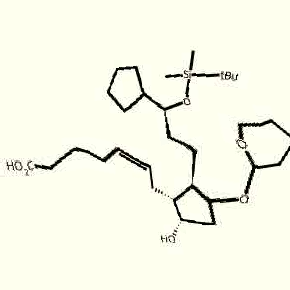 CC(C)(C)[Si](C)(C)O[C@@H](CC[C@H]1C(OC2CCCCO2)C[C@H](O)[C@@H]1C/C=C\CCCC(=O)O)C1CCCC1